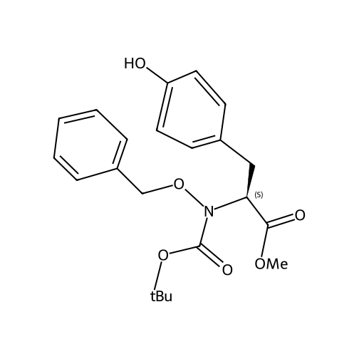 COC(=O)[C@H](Cc1ccc(O)cc1)N(OCc1ccccc1)C(=O)OC(C)(C)C